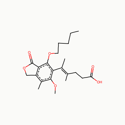 CCCCCOc1c2c(c(C)c(OC)c1C(C)=C(C)CCC(=O)O)COC2=O